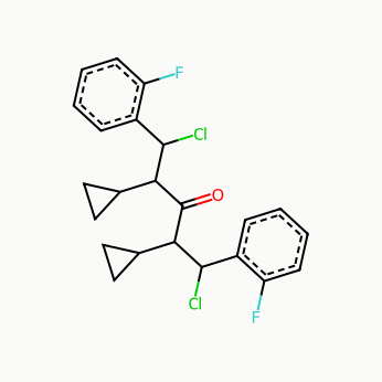 O=C(C(C1CC1)C(Cl)c1ccccc1F)C(C1CC1)C(Cl)c1ccccc1F